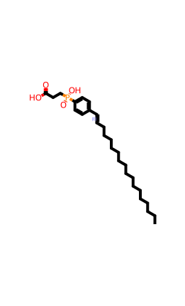 CCCCCCCCCCCCCCCC/C=C/c1ccc(P(=O)(O)CCC(=O)O)cc1